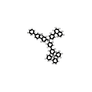 c1ccc(-c2ccc3c(c2)sc2cc(N(c4ccc(-c5ccc([Si](c6ccccc6)(c6ccccc6)c6ccccc6)cc5)cc4)c4ccc(-c5cccc6ccccc56)cc4)ccc23)cc1